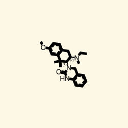 CCN(C)[C@@H]1Cc2ccc(OC)cc2C(C)(C)[C@H]1N1Cc2ccccc2NC1=O